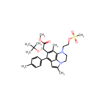 COC(=O)[C@@H](OC(C)(C)C)c1c(C)c2c3c(cc(C)n3CCN2CCOS(C)(=O)=O)c1-c1ccc(C)cc1